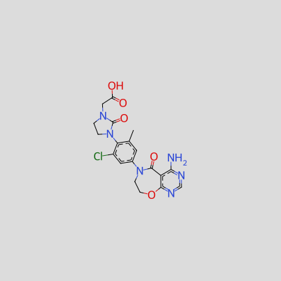 Cc1cc(N2CCOc3ncnc(N)c3C2=O)cc(Cl)c1N1CCN(CC(=O)O)C1=O